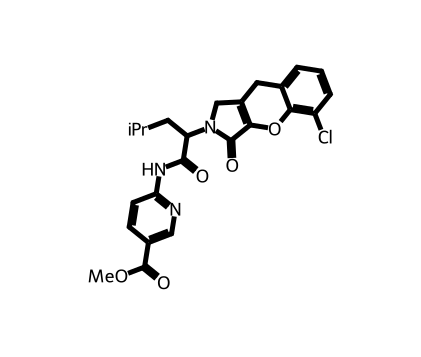 COC(=O)c1ccc(NC(=O)C(CC(C)C)N2CC3=C(Oc4c(Cl)cccc4C3)C2=O)nc1